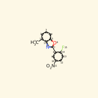 Cc1cccc2oc(-c3cc([N+](=O)[O-])ccc3F)nc12